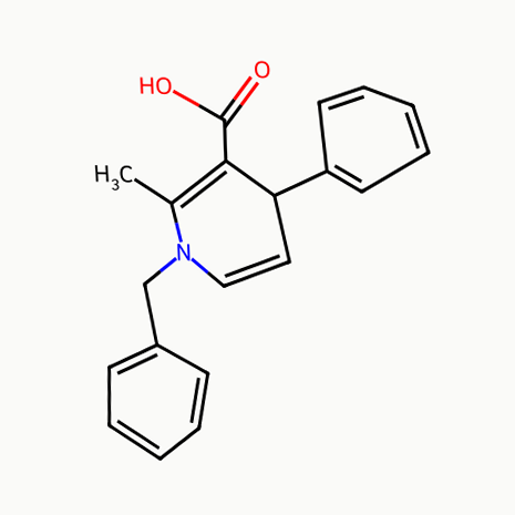 CC1=C(C(=O)O)C(c2ccccc2)C=CN1Cc1ccccc1